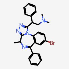 CC1N=C(c2ccccc2)c2cc(Br)ccc2-n2c1nnc2C(CN(C)C)c1ccccc1